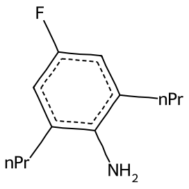 CCCc1cc(F)cc(CCC)c1N